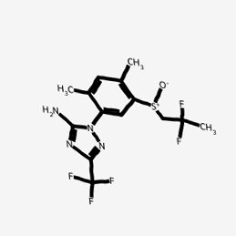 Cc1cc(C)c([S+]([O-])CC(C)(F)F)cc1-n1nc(C(F)(F)F)nc1N